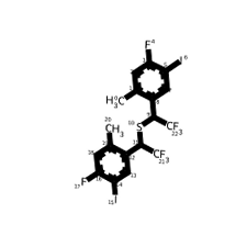 Cc1cc(F)c(I)cc1C(SC(c1cc(I)c(F)cc1C)C(F)(F)F)C(F)(F)F